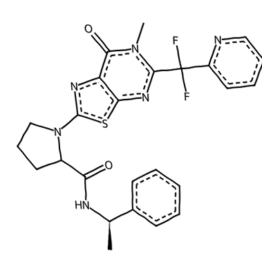 C[C@@H](NC(=O)C1CCCN1c1nc2c(=O)n(C)c(C(F)(F)c3ccccn3)nc2s1)c1ccccc1